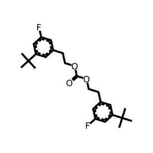 CC(C)(C)c1cc(F)cc(CCOC(=O)OCCc2cc(F)cc(C(C)(C)C)c2)c1